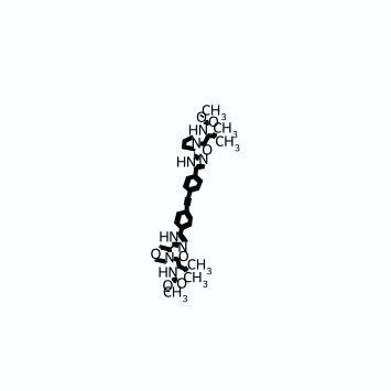 COC(=O)NC(C(=O)N1CCC[C@H]1c1ncc(-c2ccc(C#Cc3ccc(-c4cnc([C@@H]5COCCN5C(=O)[C@@H](NC(=O)OC)C(C)C)[nH]4)cc3)cc2)[nH]1)C(C)C